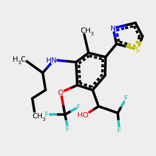 CCCC(C)Nc1c(C)c(-c2nccs2)cc(C(O)C(F)F)c1OC(F)(F)F